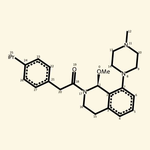 CO[C@H]1c2c(cccc2N2CCN(C)CC2)CCN1C(=O)Cc1ccc(C(C)C)cc1